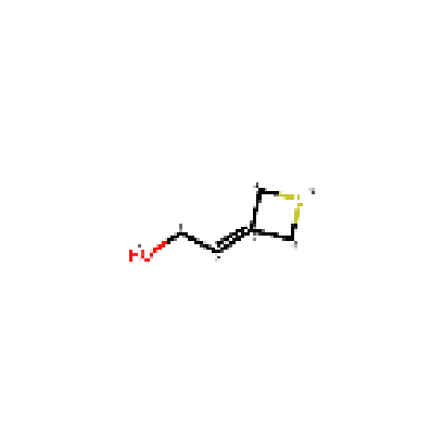 OCC=C1CSC1